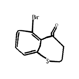 O=C1CCSc2cccc(Br)c21